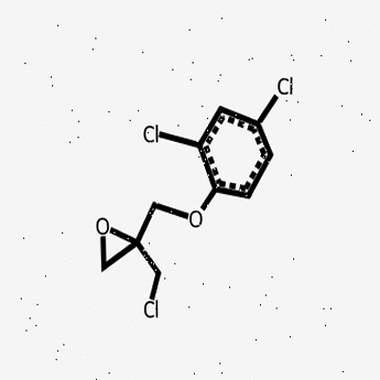 ClCC1(COc2ccc(Cl)cc2Cl)CO1